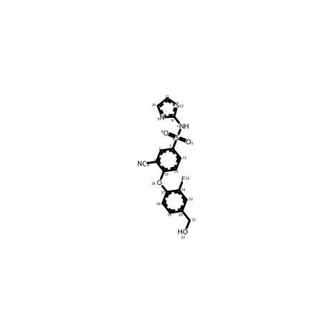 N#Cc1cc(S(=O)(=O)Nc2nccs2)ccc1Oc1ccc(CO)cc1F